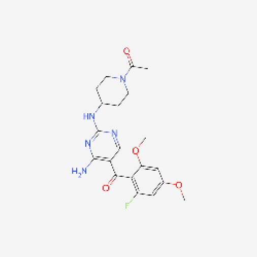 COc1cc(F)c(C(=O)c2cnc(NC3CCN(C(C)=O)CC3)nc2N)c(OC)c1